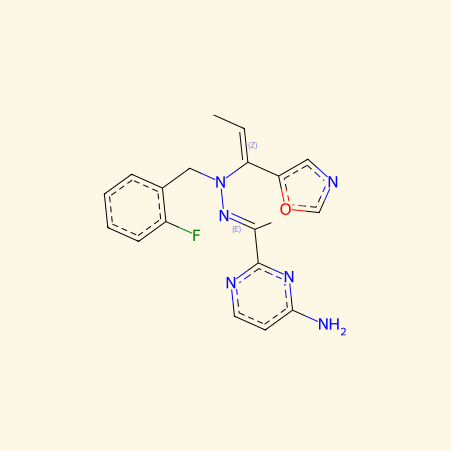 C/C=C(/c1cnco1)N(Cc1ccccc1F)/N=C(\C)c1nccc(N)n1